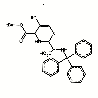 CC(C)C1=CSC(C(NC(c2ccccc2)(c2ccccc2)c2ccccc2)C(=O)O)NC1C(=O)OC(C)(C)C